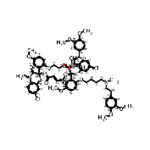 COc1ccc(OCCCCN(C)CCc2ccc(OC)c(OC)c2)c(C2(OC(=O)/C=C/C(=O)OC3(c4cc(OC)ccc4OCCCCN(C)CCc4ccc(OC)c(OC)c4)Sc4cc(Cl)ccc4N(C)C3=O)Sc3cc(Cl)ccc3N(C)C2=O)c1